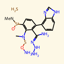 CN[S+]([O-])c1ccc(-c2cccc3[nH]cnc23)c(/C(N)=N/NN)c1N(C)SON.S